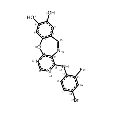 Oc1cc2c(cc1O)Oc1ncnc(Nc3ccc(Br)cc3F)c1N=C2